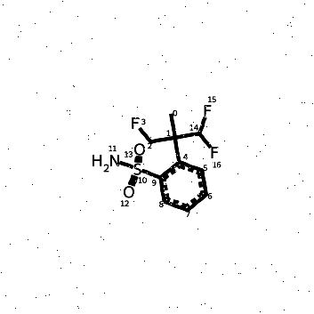 CC(CF)(c1ccccc1S(N)(=O)=O)C(F)F